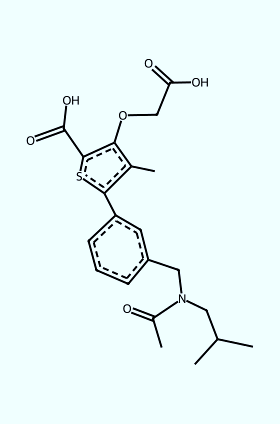 CC(=O)N(Cc1cccc(-c2sc(C(=O)O)c(OCC(=O)O)c2C)c1)CC(C)C